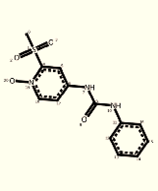 CS(=O)(=O)c1cc(NC(=O)Nc2ccccc2)cc[n+]1[O-]